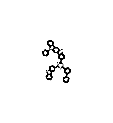 c1ccc(-c2cccc(-c3nc(-c4ccc5oc6cc7c8ccccc8n(-c8ccccc8)c7cc6c5c4)nc(-c4ccc5sc6ccccc6c5c4)n3)c2)cc1